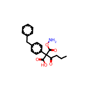 CCCC(=O)C(C(=O)O)(C(=O)ON)c1ccc(Cc2ccccc2)cc1